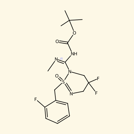 C/N=C(/NC(=O)OC(C)(C)C)N1CC(F)(F)CN=S1(=O)Cc1ccccc1F